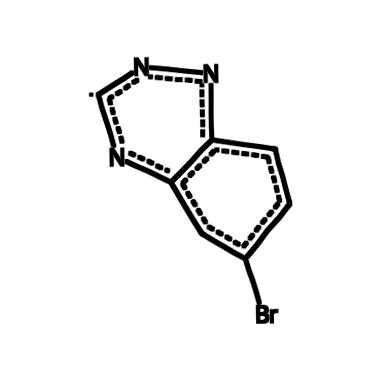 Brc1ccc2nn[c]nc2c1